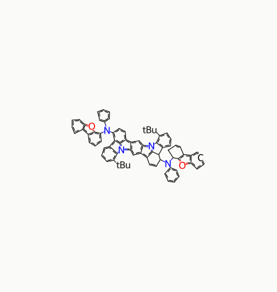 CC(C)(C)c1cccc2c1-n1c3c(c4cc5c(cc41)c1ccc(N(c4ccccc4)c4cccc6c4oc4ccccc46)c4c6cccc(C(C)(C)C)c6n5c14)C=CC(N(c1ccccc1)C1CC=Cc4c1oc1ccccc41)C23